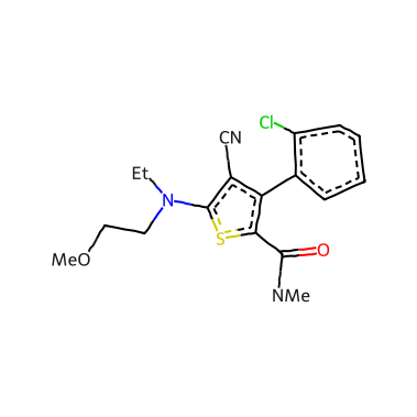 CCN(CCOC)c1sc(C(=O)NC)c(-c2ccccc2Cl)c1C#N